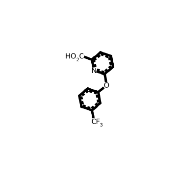 O=C(O)c1cccc(Oc2cccc(C(F)(F)F)c2)n1